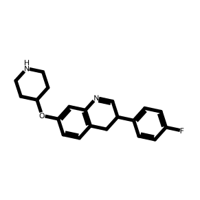 Fc1ccc(C2C=Nc3cc(OC4CCNCC4)ccc3C2)cc1